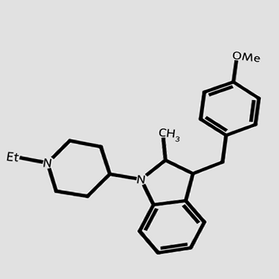 CCN1CCC(N2c3ccccc3C(Cc3ccc(OC)cc3)C2C)CC1